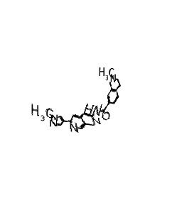 CN1CCc2ccc(C(=O)Nc3cc4cc(-c5cnn(C)c5)ncc4cn3)cc2C1